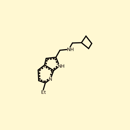 CCc1ccc2cc(CNCC3CCC3)[nH]c2n1